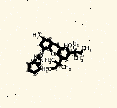 CCC(C)(C)c1cc(Cc2cc(C)cc(-n3n4c5ccccc5n34)c2O)c(O)c(C(C)(C)CC)c1